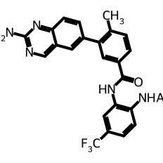 CC(=O)Nc1ccc(C(F)(F)F)cc1NC(=O)c1ccc(C)c(-c2ccc3nc(N)ncc3c2)c1